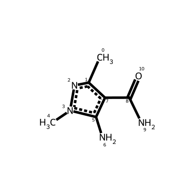 Cc1nn(C)c(N)c1C(N)=O